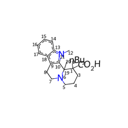 CCCCC1(C(=O)O)CCCN2CCc3c(n(C)c4ccccc34)C21C